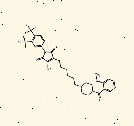 COc1ccccc1C(=O)N1CCN(CCCCCCC2=C(C)C(=O)N(c3ccc(C(F)(F)F)c(C(F)(F)F)c3)C2=O)CC1